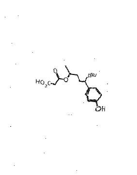 CC(CCC(c1ccc(O)cc1)C(C)(C)C)OC(=O)CC(=O)O